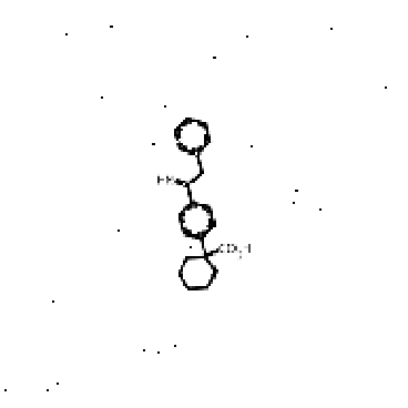 N=C(Cc1ccccc1)c1ccc(C2(C(=O)O)CCCCC2)cc1